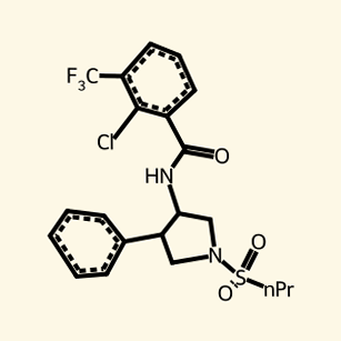 CCCS(=O)(=O)N1CC(NC(=O)c2cccc(C(F)(F)F)c2Cl)C(c2ccccc2)C1